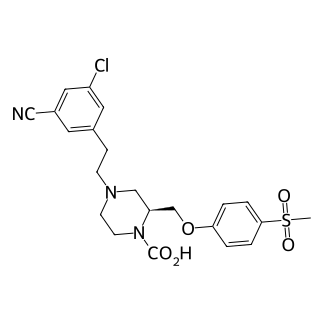 CS(=O)(=O)c1ccc(OC[C@@H]2CN(CCc3cc(Cl)cc(C#N)c3)CCN2C(=O)O)cc1